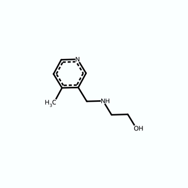 Cc1ccncc1CNCCO